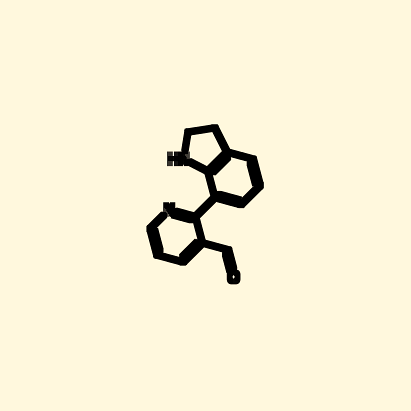 O=Cc1cccnc1-c1cccc2c1NCC2